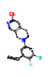 COc1cc(N2CCc3cc(O)ncc3C2)cc(F)c1F